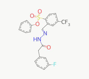 O=C(Cc1cccc(F)c1)NN=Cc1cc(C(F)(F)F)ccc1S(=O)(=O)Oc1ccccc1